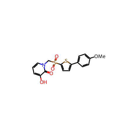 COc1ccc(-c2ccc(S(=O)(=O)Cn3cccc(O)c3=O)s2)cc1